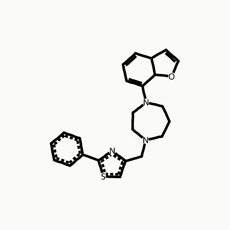 C1=CC2C=COC2C(N2CCCN(Cc3csc(-c4ccccc4)n3)CC2)=C1